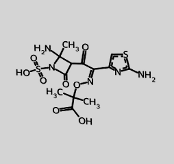 CC(C)(ON=C(C(=O)C1C(=O)N(S(=O)(=O)O)C1(C)N)c1csc(N)n1)C(=O)O